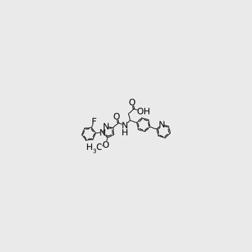 COc1cc(C(=O)NC(CC(=O)O)c2ccc(-c3ccccn3)cc2)nn1-c1ccccc1F